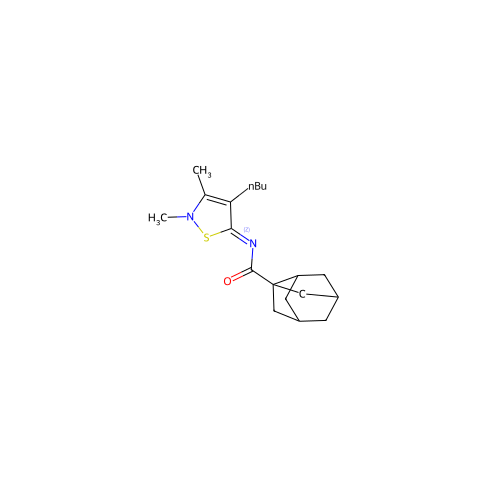 CCCCc1c(C)n(C)s/c1=N\C(=O)C12CC3CC(CC1C3)C2